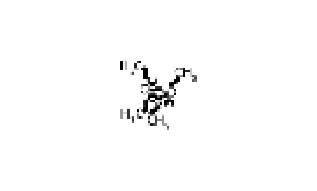 CCCOP(=O)(CP(=O)(OCCC)OCCC)OCCC